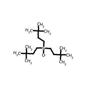 CC(C)(C)CC[Si]([O])(CCC(C)(C)C)CCC(C)(C)C